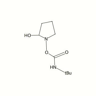 CC(C)(C)NC(=O)ON1CCCC1O